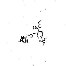 CCOC(=O)c1ccc(C(F)(F)Cl)nc1COCc1ncn(C)n1